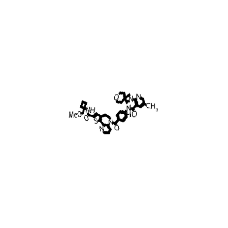 COCC1(NC(=O)c2cc3c(s2)-c2ncccc2N(C(=O)c2ccc(NC(=O)c4cc(C)cnc4N4CC5(CCOCC5)C4)cc2)CC3)CCC1